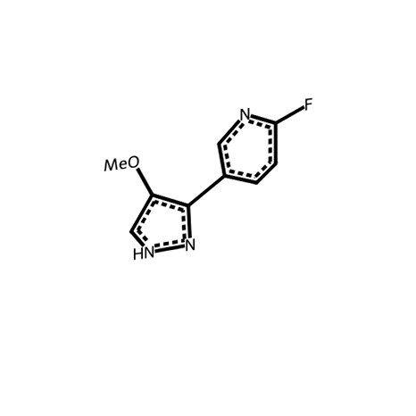 COc1c[nH]nc1-c1ccc(F)nc1